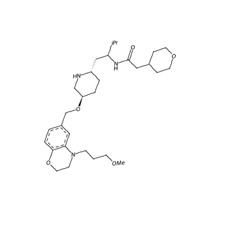 COCCCN1CCOc2ccc(CO[C@@H]3CC[C@@H](CC(NC(=O)CC4CCOCC4)C(C)C)NC3)cc21